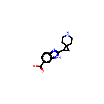 O=C(O)c1ccc2nc(C3CC34CCNCC4)[nH]c2c1